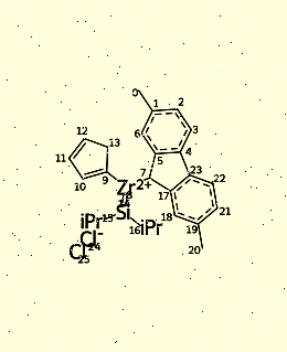 Cc1ccc2c(c1)[CH]([Zr+2]([C]1=CC=CC1)=[Si](C(C)C)C(C)C)c1cc(C)ccc1-2.[Cl-].[Cl-]